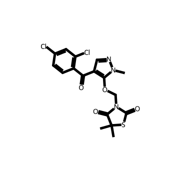 Cn1ncc(C(=O)c2ccc(Cl)cc2Cl)c1OCN1C(=O)SC(C)(C)C1=O